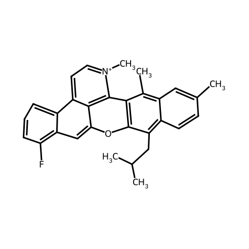 Cc1ccc2c(CC(C)C)c3c(c(C)c2c1)-c1c2c(cc4c(F)cccc4c2cc[n+]1C)O3